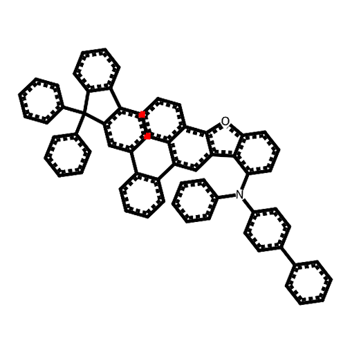 c1ccc(-c2ccc(N(c3ccccc3)c3cccc4oc5c6ccccc6c(-c6ccccc6-c6ccc7c(c6)C(c6ccccc6)(c6ccccc6)c6ccccc6-7)cc5c34)cc2)cc1